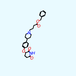 O=C1CCC(Oc2ccc(C3CCN(CCCC(=O)OCc4ccccc4)CC3)cc2)C(=O)N1